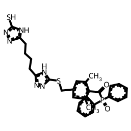 Cc1cc(CSc2nnc(CCCCc3nnc(S)[nH]3)[nH]2)cc(C)c1C(=O)P(=O)(c1ccccc1)c1ccccc1